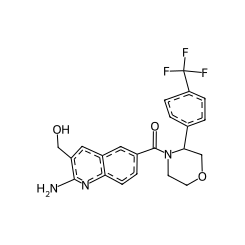 Nc1nc2ccc(C(=O)N3CCOCC3c3ccc(C(F)(F)F)cc3)cc2cc1CO